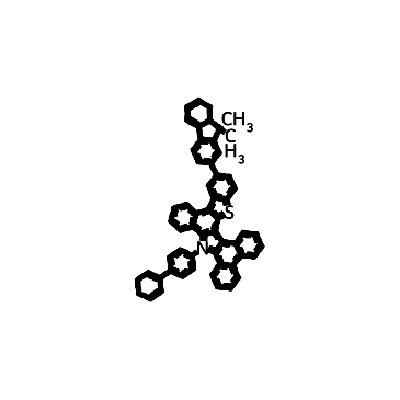 CC1(C)c2cc(-c3ccc4sc5c(c4c3)c3ccccc3c3c5c4c5ccccc5c5ccccc5c4n3-c3ccc(C4=CCCC=C4)cc3)ccc2C2=CC=CCC21